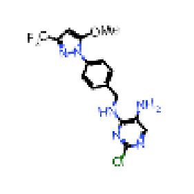 COc1cc(C(F)(F)F)nn1-c1ccc(CNc2nc(Cl)ncc2N)cc1